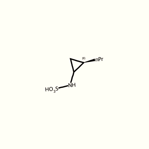 CCC[C@@H]1CC1NS(=O)(=O)O